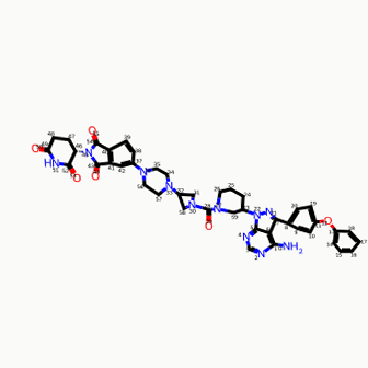 Nc1ncnc2c1c(-c1ccc(Oc3ccccc3)cc1)nn2C1CCCN(C(=O)N2CC(N3CCN(c4ccc5c(c4)C(=O)N([C@H]4CCC(=O)NC4=O)C5=O)CC3)C2)C1